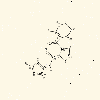 CC1=C(C(=O)N2CSCC2C(=O)/N=c2/[nH]cc(C)s2)SCCO1